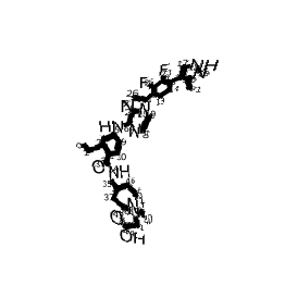 CCc1cc(Nc2nccn3c(-c4ccc(-c5c[nH]nc5C)c(F)c4F)cnc23)ccc1C(=O)NCC1CC[N+](C)(CC(=O)O)CC1